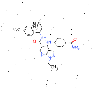 CC[C@@H](NC(=O)c1cnc2c(cnn2CC)c1N[C@H]1CC[C@@H](C(N)=O)CC1)c1ccc(C)cc1C